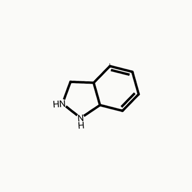 [C]1=CC=CC2NNCC12